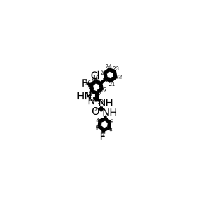 O=C(Nc1ccc(F)cc1)Nc1n[nH]c2c(F)c(Cl)c(-c3ccccc3)cc12